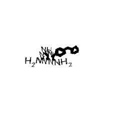 Nc1nc(N)c2nc(-c3ccc(Cc4ccccc4)cc3)c(N)nc2n1